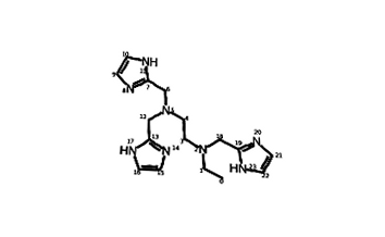 CCN(CCN(Cc1ncc[nH]1)Cc1ncc[nH]1)Cc1ncc[nH]1